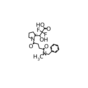 CN(Cc1ccccc1)C(=O)CCC(=O)N1CCC[C@H]1C(O)C(F)(F)C(=O)O